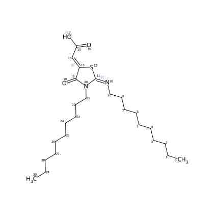 CCCCCCCCCC/N=C1/S/C(=C\C(=O)O)C(=O)N1CCCCCCCCCC